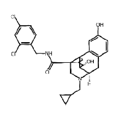 O=C(NCc1ccc(Cl)cc1Cl)[C@H]1C[C@]23CCN(CC4CC4)[C@H](Cc4ccc(O)cc42)[C@]3(O)C1